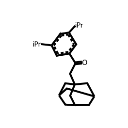 CC(C)c1[c]c(C(C)C)cc(C(=O)CC23CC4CC(CC(C4)C2)C3)c1